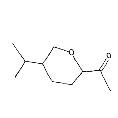 CC(=O)C1CCC(C(C)C)CO1